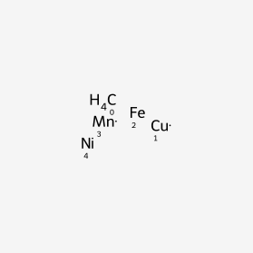 C.[Cu].[Fe].[Mn].[Ni]